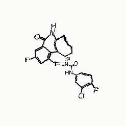 CN(C(=O)Nc1ccc(F)c(Cl)c1)[C@H]1CCCc2[nH]c(=O)c3cc(F)cc(F)c3c21